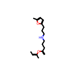 C=C(CCCNCCCc1ccc(C)o1)O/C(C)=C\C